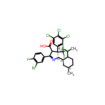 CC(C)C1CC[C@@H](C)C[C@H]1[C@@H]1N=C(c2ccc(F)c(Br)c2)C(C(=O)O)C1(c1cc(Cl)c(Cl)c(Cl)c1)C(F)(F)F